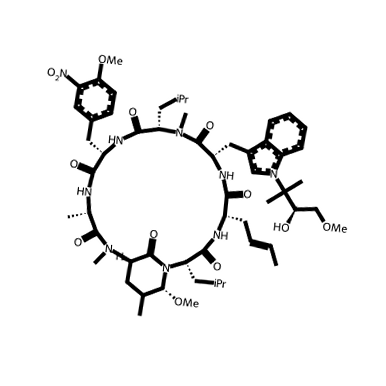 C/C=C/C[C@@H]1NC(=O)[C@H](CC(C)C)N2C(=O)[C@H](CC(C)[C@H]2OC)N(C)C(=O)[C@H](C)NC(=O)[C@H](Cc2ccc(OC)c([N+](=O)[O-])c2)NC(=O)[C@H](CC(C)C)N(C)C(=O)[C@H](Cc2cn(C(C)(C)[C@H](O)COC)c3ccccc23)NC1=O